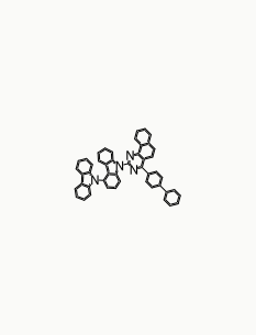 c1ccc(-c2ccc(-c3nc(-n4c5ccccc5c5c(-n6c7ccccc7c7ccccc76)cccc54)nc4c3ccc3ccccc34)cc2)cc1